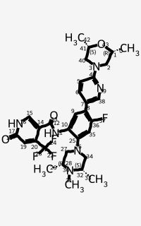 C[C@@H]1CN(c2ccc(-c3cc(NC(=O)c4c[nH]c(=O)cc4C(F)(F)F)c(N4C[C@@H](C)N(C)[C@@H](C)C4)cc3F)cn2)C[C@H](C)O1